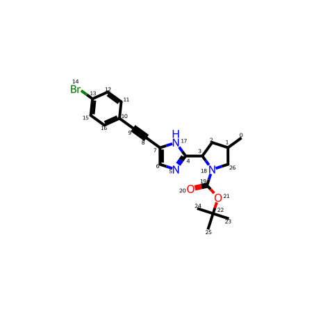 CC1CC(c2ncc(C#Cc3ccc(Br)cc3)[nH]2)N(C(=O)OC(C)(C)C)C1